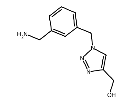 NCc1cccc(Cn2cc(CO)nn2)c1